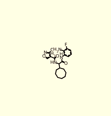 Cc1nocc1C(=O)NC(C(=O)Nc1cccc(F)c1N)C1CCCCCCC1